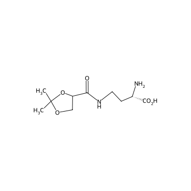 CC1(C)OCC(C(=O)NCC[C@H](N)C(=O)O)O1